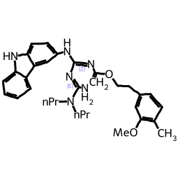 C=C(/N=C(\N=C(/N)N(CCC)CCC)Nc1ccc2[nH]c3ccccc3c2c1)OCCc1ccc(C)c(OC)c1